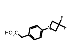 O=C(O)Cc1ccc(N2CC(F)(F)C2)cc1